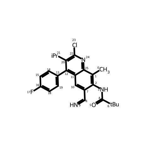 Cc1c(NC(=O)C(C)(C)C)c(C=N)cc2c(-c3ccc(F)cc3)c(C(C)C)c(Cl)nc12